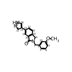 COc1cccc(CN2Cc3ccc(-c4cn[nH]c4)cc3C2=O)c1